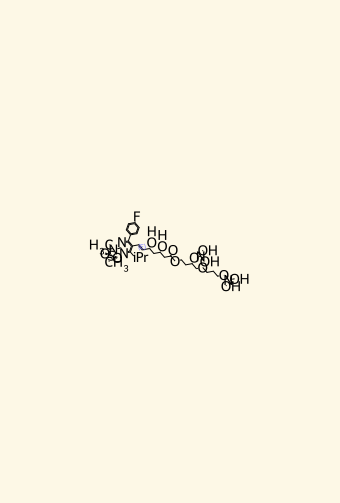 CC(C)c1nc(N(C)S(C)(=O)=O)nc(-c2ccc(F)cc2)c1/C=C/C(O)CC(O)CC(=O)OCCC(COCCCON(O)O)ON(O)O